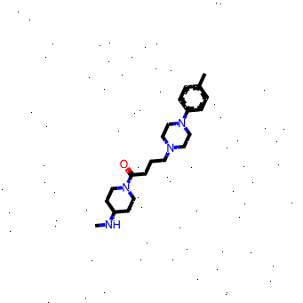 CNC1CCN(C(=O)CCCN2CCN(c3ccc(C)cc3)CC2)CC1